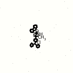 C[C@H](NC(=O)OC1c2ccccc2-c2ccccc21)C(=O)c1ccc([C](c2ccccc2)c2ccccc2)c(Cl)c1